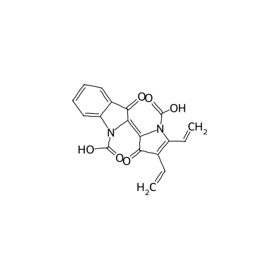 C=CC1=C(C=C)N(C(=O)O)/C(=C2\C(=O)c3ccccc3N2C(=O)O)C1=O